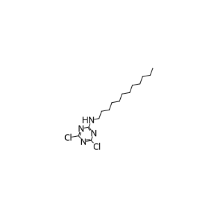 CCCCCCCCCCCCNc1nc(Cl)nc(Cl)n1